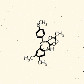 COc1ccc([C@@H]2Sc3cc(C)c(C)cc3NC(=O)[C@@H]2OC(C)=O)cc1